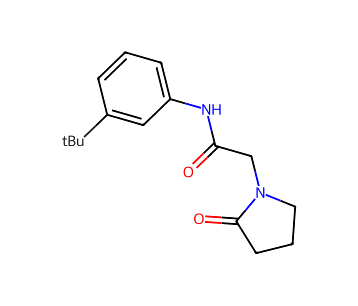 CC(C)(C)c1cccc(NC(=O)CN2CCCC2=O)c1